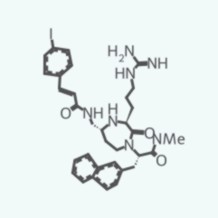 CNC(=O)[C@H](Cc1ccc2ccccc2c1)N1CC[C@H](CNC(=O)/C=C/c2ccc(I)cc2)N[C@@H](CCCNC(=N)N)C1=O